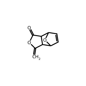 C=C1OC(=O)C2C3C=CC(O3)C12